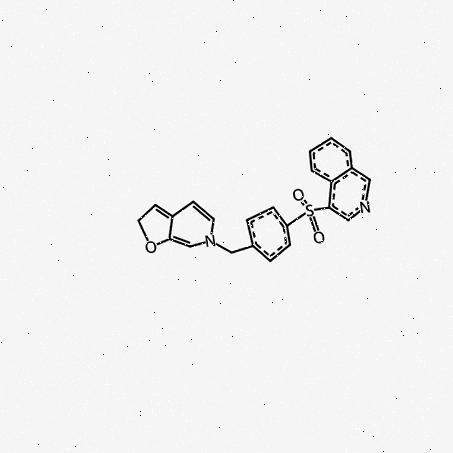 O=S(=O)(c1ccc(CN2C=CC3=CCOC3=C2)cc1)c1cncc2ccccc12